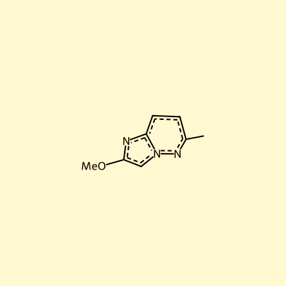 COc1cn2nc(C)ccc2n1